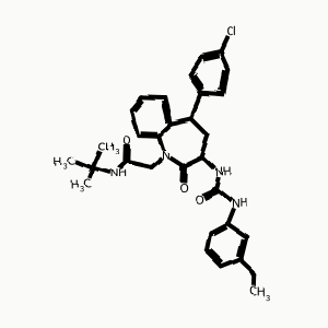 CCc1cccc(NC(=O)NC2CC(c3ccc(Cl)cc3)c3ccccc3N(CC(=O)NC(C)(C)C)C2=O)c1